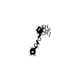 CC1(C)C(CCOCCOCC2CC3C=CC2C3)C2CC[N+]1(C)CC2